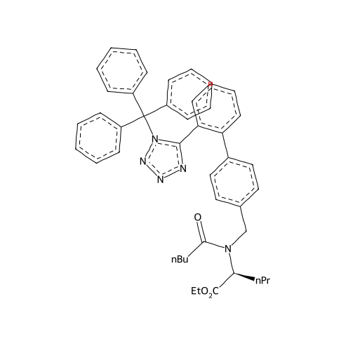 CCCCC(=O)N(Cc1ccc(-c2ccccc2-c2nnnn2C(c2ccccc2)(c2ccccc2)c2ccccc2)cc1)[C@@H](CCC)C(=O)OCC